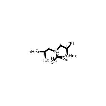 CCCCCCC(CC)CN(CC(CC)CCCCCC)C(=S)S